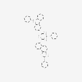 c1ccc(-c2nc(-c3ccc4c(c3)c3ccccc3n4-c3ccccc3)nc(-c3cccc4c3ccc3nc(-c5ccccc5)sc34)n2)cc1